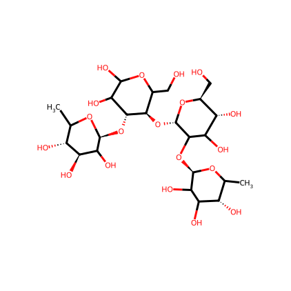 CC1O[C@H](OC2C(O)[C@@H](O)[C@H](CO)O[C@H]2O[C@@H]2C(CO)OC(O)C(O)[C@H]2O[C@@H]2OC(C)[C@@H](O)[C@H](O)C2O)C(O)C(O)[C@H]1O